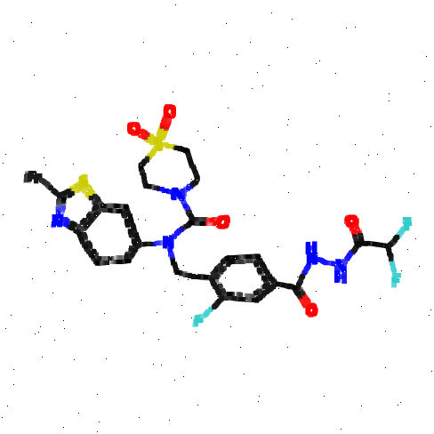 CC(C)c1nc2ccc(N(Cc3ccc(C(=O)NNC(=O)C(F)F)cc3F)C(=O)N3CCS(=O)(=O)CC3)cc2s1